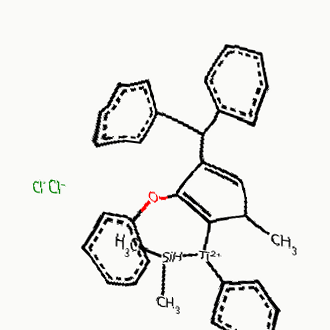 CC1C=C(C(c2ccccc2)c2ccccc2)C(Oc2ccccc2)=[C]1[Ti+2]([c]1ccccc1)[SiH](C)C.[Cl-].[Cl-]